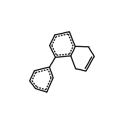 [CH]1C=CCc2c1cccc2-c1ccccc1